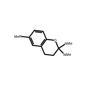 CNc1ccc2c(c1)CCC(NC)(NC)O2